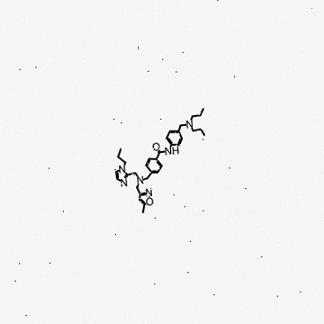 CCCN(CCC)Cc1ccc(NC(=O)c2ccc(CN(Cc3cc(C)on3)Cc3nccn3CCC)cc2)cc1